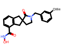 COc1cccc(CN2CCC3(Cc4cccc(C(=O)NO)c4C3)C2=O)c1